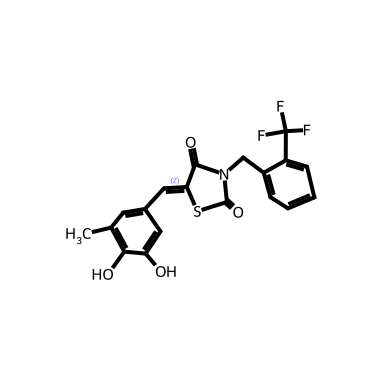 Cc1cc(/C=C2\SC(=O)N(Cc3ccccc3C(F)(F)F)C2=O)cc(O)c1O